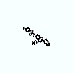 CC(C)(C)O/N=c1/cc(-c2cc3cccn3cn2)oc2ccc(OCC(=O)Nc3ccc(F)cc3)cc12